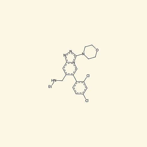 CCNCc1cc2nnc(N3CCOCC3)n2cc1-c1ccc(Cl)cc1Cl